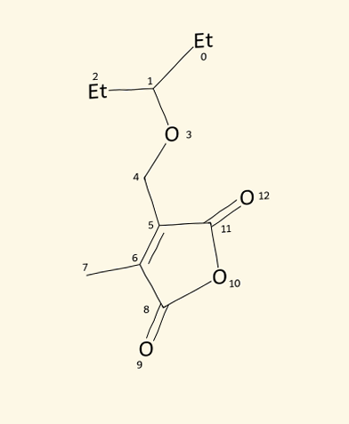 CCC(CC)OCC1=C(C)C(=O)OC1=O